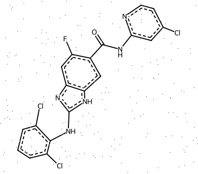 O=C(Nc1cc(Cl)ccn1)c1cc2[nH]c(Nc3c(Cl)cccc3Cl)nc2cc1F